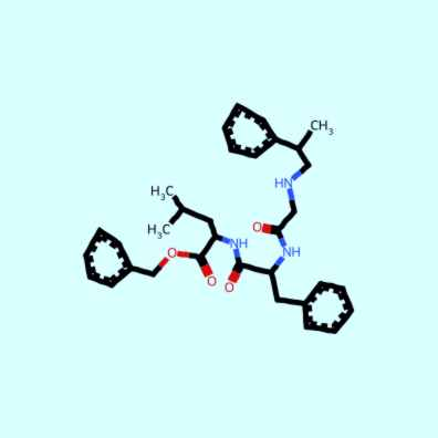 CC(C)CC(NC(=O)C(Cc1ccccc1)NC(=O)CNCC(C)c1ccccc1)C(=O)OCc1ccccc1